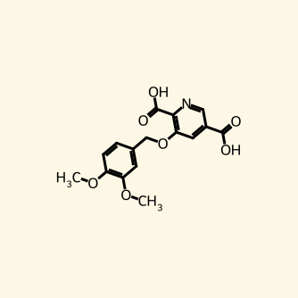 COc1ccc(COc2cc(C(=O)O)cnc2C(=O)O)cc1OC